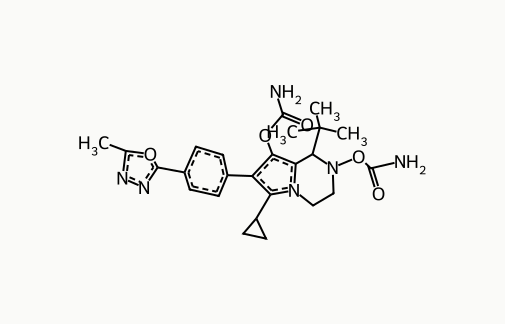 Cc1nnc(-c2ccc(-c3c(OC(N)=O)c4n(c3C3CC3)CCN(OC(N)=O)C4C(C)(C)C)cc2)o1